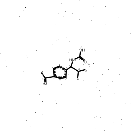 CC(=O)c1ccc(C(NC(=O)O)C(C)C)cc1